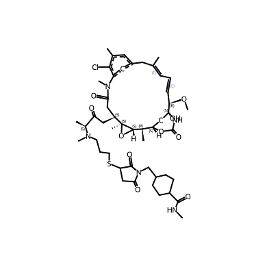 CNC(=O)C1CCC(CN2C(=O)CC(SCCCN(C)[C@@H](C)C(=O)C[C@H]3CC(=O)N(C)c4cc(cc(C)c4Cl)C/C(C)=C/C=C/[C@@H](OC)[C@@]4(O)C[C@H](OC(=O)N4)[C@@H](C)[C@@H]4O[C@@]34C)C2=O)CC1